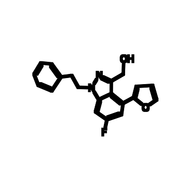 OCc1nn(CCc2ccccc2)c2cc(F)cc(-c3ccco3)c12